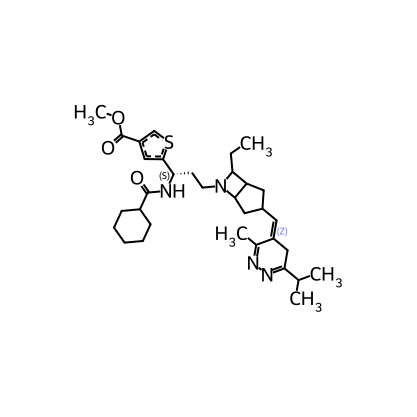 CCC1C2CC(/C=C3/CC(C(C)C)=NN=C3C)CC2N1CC[C@H](NC(=O)C1CCCCC1)c1cc(C(=O)OC)cs1